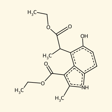 CCOC(=O)c1c(C)[nH]c2ccc(O)c(C(C)C(=O)OCC)c12